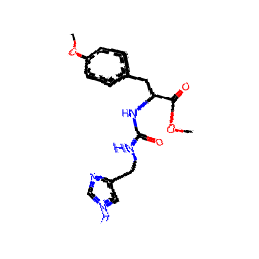 COC(=O)C(Cc1ccc(OC)cc1)NC(=O)NCc1c[nH]cn1